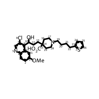 COc1ccc2ncc(Cl)c(C(O)CCC3(C(=O)O)CCN(CCCCc4cccs4)CC3)c2c1